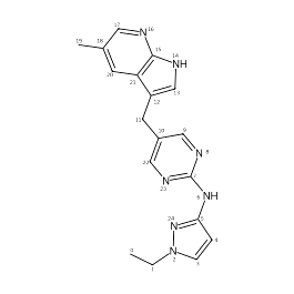 CCn1ccc(Nc2ncc(Cc3c[nH]c4ncc(C)cc34)cn2)n1